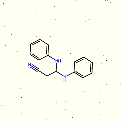 N#CCC(Nc1ccccc1)Nc1ccccc1